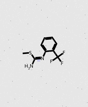 CS/C(N)=N\c1ccccc1C(F)(F)F